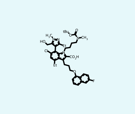 CCc1nn(C)c(CO)c1-c1c(Cl)cc(CC)c2c(CCCOc3cccc4cc(F)ccc34)c(C(=O)O)n(CCCCN(C)C(=O)OC(C)(C)C)c12